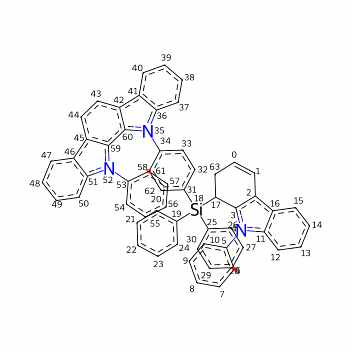 C1=Cc2c(n(-c3ccccc3)c3ccccc23)C([Si](c2ccccc2)(c2ccccc2)c2ccc(-n3c4ccccc4c4ccc5c6ccccc6n(-c6ccccc6)c5c43)cc2)C1